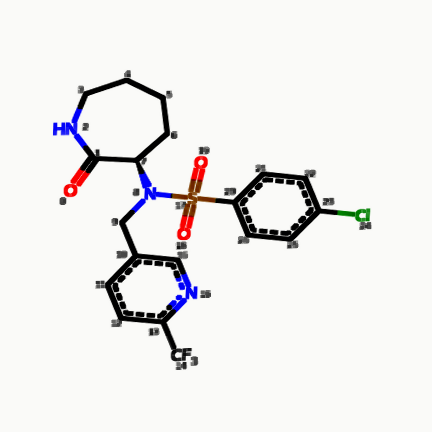 O=C1NCCCC[C@H]1N(Cc1ccc(C(F)(F)F)nc1)S(=O)(=O)c1ccc(Cl)cc1